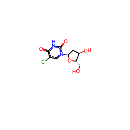 O=c1[nH]c(=O)n([C@H]2C[C@@H](O)[C@H](CO)O2)cc1Cl